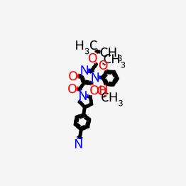 COc1cccc(OC)c1-n1c(COC(C)C)nc(=O)c(C(=O)N2CCC(c3ccc(C#N)cc3)C2)c1O